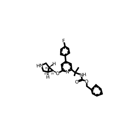 CC(C)(NC(=O)OCc1ccccc1)c1cc(-c2ccc(F)cc2)cc(O[C@H]2[C@@H]3CNC[C@@H]32)n1